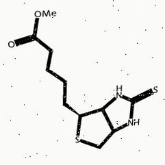 COC(=O)CCCC[C@@H]1SCC2NC(=S)NC21